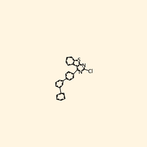 Clc1nc(-c2ccc(-c3cccc(-c4ccccc4)c3)cc2)c2c(n1)sc1ccccc12